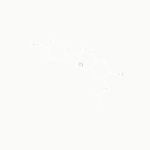 CC(C)Oc1cc(NC(=O)C(C)SC(C)C(=O)O)c(Cl)cc1Cl